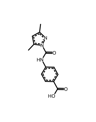 Cc1cc(C)n(C(=O)Nc2ccc(C(=O)O)cc2)n1